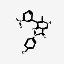 Cc1[nH]cc2c(=O)n(-c3ccc(Cl)cc3)nc-2c1-c1cccc([N+](=O)[O-])c1